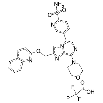 NS(=O)(=O)c1ccc(-c2cnc(N3CCOCC3)c3nc(COc4ccc5ccccc5n4)cn23)cn1.O=C(O)C(F)(F)F